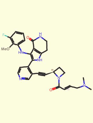 COc1c(F)cccc1Nc1c(-c2ccncc2C#C[C@H]2CCN2C(=O)/C=C/CN(C)C)[nH]c2c1C(=O)NCC2